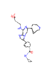 O=C(NC1CC1)c1ccc(-c2cnc3c(NCCCO)nc(-c4ccncc4)cn23)cc1